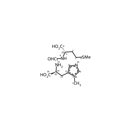 CSCC[C@H](NC=O)C(=O)O.Cn1cncc1C[C@H](N)C(=O)O